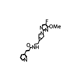 COc1nc(N2CC3C(CCNC(=O)/C=C/c4cccnc4)C3C2)ncc1F